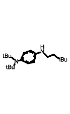 CCC(C)CCNc1ccc(N(C(C)(C)C)C(C)(C)C)cc1